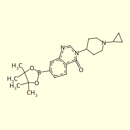 CC1(C)OB(c2ccc3c(=O)n(C4CCN(C5CC5)CC4)cnc3c2)OC1(C)C